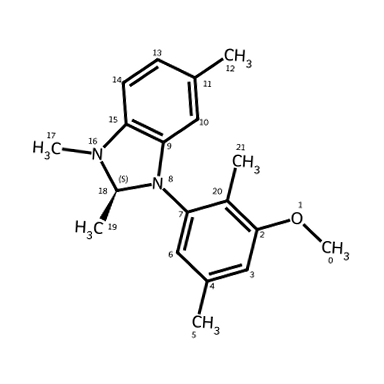 COc1cc(C)cc(N2c3cc(C)ccc3N(C)[C@@H]2C)c1C